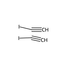 C#CI.C#CI